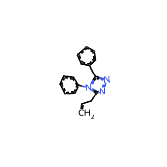 C=CCc1nnc(-c2ccccc2)n1-c1ccccc1